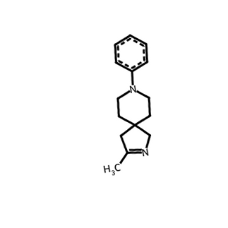 CC1=NCC2(CCN(c3ccccc3)CC2)C1